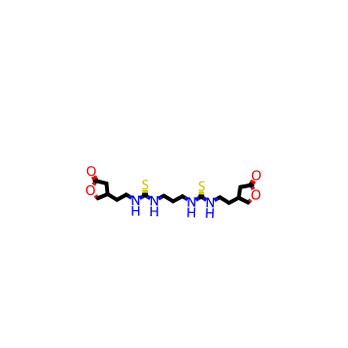 O=C1CC(CCNC(=S)NCCCNC(=S)NCCC2COC(=O)C2)CO1